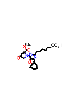 CC(C)(C)OC(=O)[C@@H]1C[C@H](O)CN1c1nc(CCCCCCC(=O)O)nc2c1oc1ccccc12